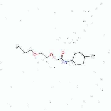 CC(C)CCOCCOCC(=O)NC1CCC(C(C)C)CC1